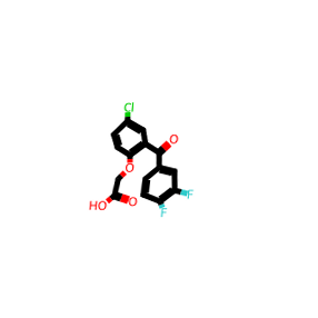 O=C(O)COc1ccc(Cl)cc1C(=O)c1ccc(F)c(F)c1